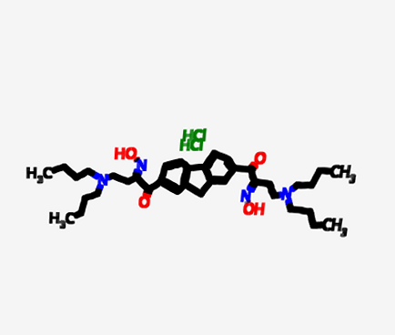 CCCCN(CCCC)CCC(=NO)C(=O)c1ccc2c(c1)Cc1cc(C(=O)C(CCN(CCCC)CCCC)=NO)ccc1-2.Cl.Cl